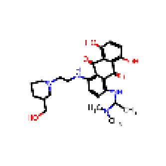 CC(Nc1ccc(NCCN2CCCC(CO)C2)c2c1C(=O)c1c(O)ccc(O)c1C2=O)N(C)C